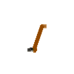 CCCS(=S)(=S)SSSSSSSSSSSSSSSSSSSSSS